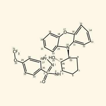 CCCN=S(=O)(N[C@H]1CCC[C@H](N2c3ccccc3Oc3ccccc32)[C@H]1O)c1ccc(OC(F)(F)F)cc1